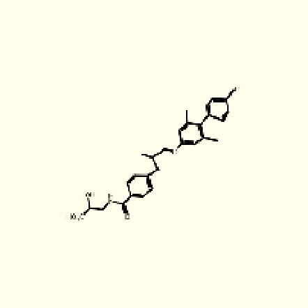 Cc1cc(OCC(C)Cc2ccc(C(=O)NCC(O)C(=O)O)cc2)cc(C)c1-c1ccc(C(C)C)cc1